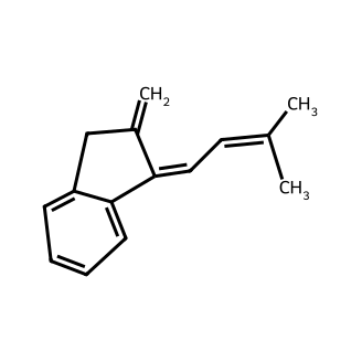 C=C1Cc2ccccc2/C1=C/C=C(C)C